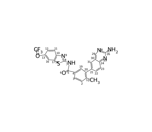 Cc1ccc(C(=O)Nc2nc3ccc(OC(F)(F)F)cc3s2)cc1-c1ccc2nc(N)ncc2c1